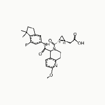 COc1ccc2c(n1)CCN(C(=O)[C@@H]1C[C@H]1CC(=O)O)C2C(=O)Nc1cc(F)c2c(c1)CCC2(C)C